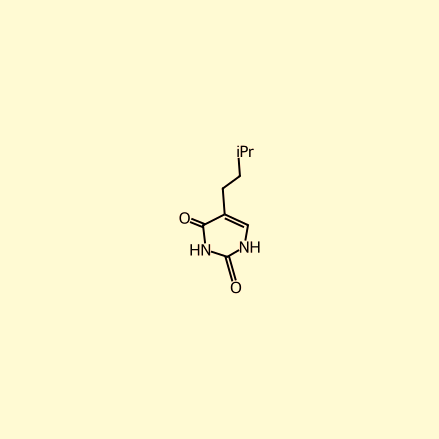 CC(C)CCc1c[nH]c(=O)[nH]c1=O